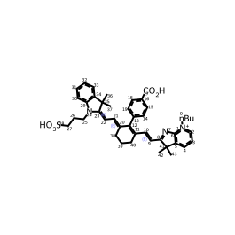 CCCC[n+]1cccc2c1N=C(/C=C/C1=C(c3ccc(C(=O)O)cc3)C(=C/C=C3/N(CCCS(=O)(=O)O)c4ccccc4C3(C)C)/CCC1)C2(C)C